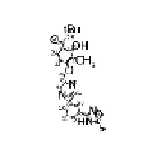 Cc1c(OCc2cnc(-c3cccc(-c4noc(=S)[nH]4)c3)cn2)ccc(C(=O)CC(C)(C)C)c1O